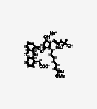 CCCCC(C)(O)C/C=C/[C@H]1[C@H](O)CC(=O)[C@@H]1CCCCCCC(=O)OC.O=C([O-])Cc1ccccc1Nc1c(Cl)cccc1Cl.[Na+]